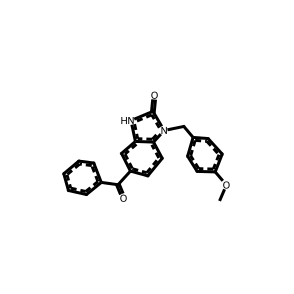 COc1ccc(Cn2c(=O)[nH]c3cc(C(=O)c4ccccc4)ccc32)cc1